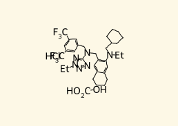 CCN(CC1CCCCC1)c1cc2c(cc1CN(Cc1cc(C(F)(F)F)cc(C(F)(F)F)c1)c1nnn(CC)n1)CCCC2.Cl.O=C(O)O